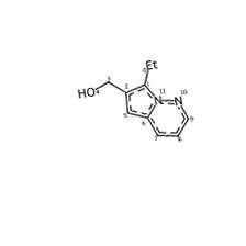 CCc1c(CO)cc2cccnn12